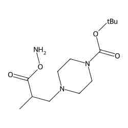 CC(CN1CCN(C(=O)OC(C)(C)C)CC1)C(=O)ON